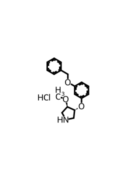 CO[C@@H]1CNC[C@H]1Oc1cccc(OCc2ccccc2)c1.Cl